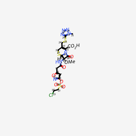 CO[C@@]1(NC(=O)Cc2cc(OS(=O)(=O)CCCl)no2)C(=O)N2C(C(=O)O)=C(CSc3nnnn3C)CS[C@H]21